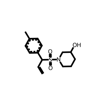 C=CC(c1ccc(C)cc1)S(=O)(=O)N1CCCC(O)C1